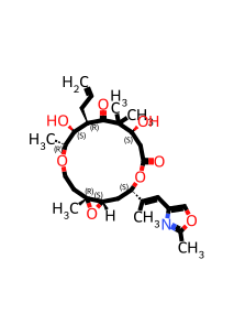 C=CC[C@H]1C(=O)C(C)(C)[C@@H](O)CC(=O)O[C@H](C(C)=Cc2coc(C)n2)C[C@@H]2O[C@]2(C)CCO[C@H](C)[C@H]1O